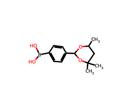 CC1CC(C)(C)OC(c2ccc(B(O)O)cc2)O1